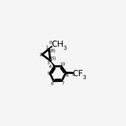 C[C@@H]1C[C@@H]1c1cccc(C(F)(F)F)c1